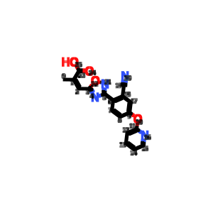 CC(=Cc1nc(-c2ccc(Oc3ccccn3)cc2C#N)no1)C(=O)O